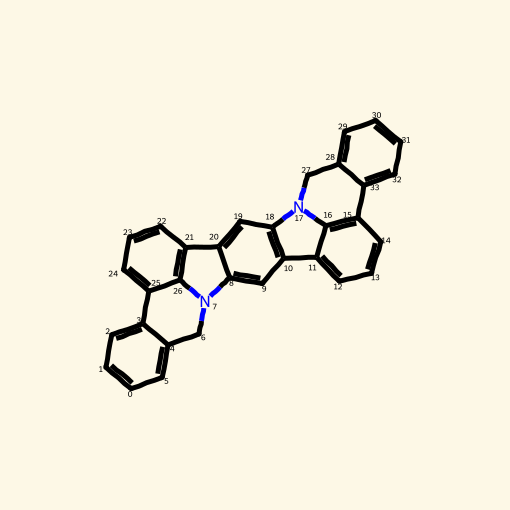 c1ccc2c(c1)Cn1c3cc4c5cccc6c5n(c4cc3c3cccc-2c31)Cc1ccccc1-6